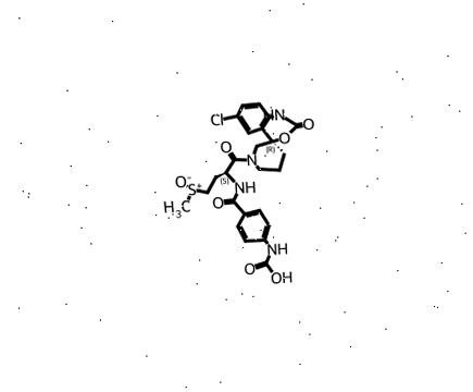 C[S+]([O-])CC[C@H](NC(=O)c1ccc(NC(=O)O)cc1)C(=O)N1CCC[C@@]2(C1)OC(=O)Nc1ccc(Cl)cc12